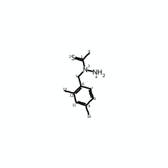 CC(=S)N(N)Cc1ccc(C)cc1C